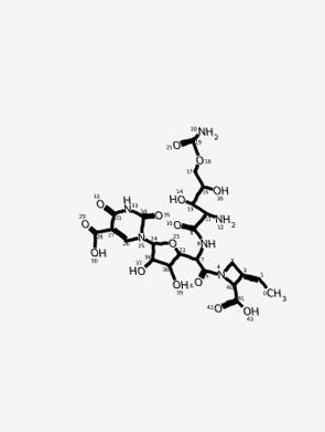 C/C=C1/CN(C(=O)C(NC(=O)C(N)C(O)C(O)COC(N)=O)C2OC(n3cc(C(=O)O)c(=O)[nH]c3=O)C(O)C2O)C1C(=O)O